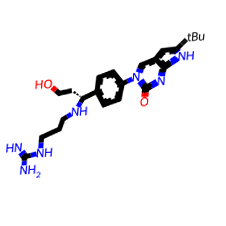 CC(C)(C)c1cc2cn(-c3ccc([C@@H](CCO)NCCCNC(=N)N)cc3)c(=O)nc2[nH]1